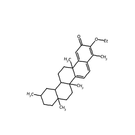 CCOC1=C(C)C2=CC=C3C(C)(CCC4C5CC(C)CCC5(C)CCC34C)C2=CC1=O